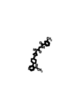 CNc1ccncc1C1CCC(N2CC(NC(=O)CNC(=O)c3cccc(C)c3)C2)CC1